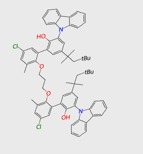 Cc1cc(Cl)cc(-c2cc(C(C)(C)CC(C)(C)C)cc(-n3c4ccccc4c4ccccc43)c2O)c1OCCCOc1c(C)cc(Cl)cc1-c1cc(C(C)(C)CC(C)(C)C)cc(-n2c3ccccc3c3ccccc32)c1O